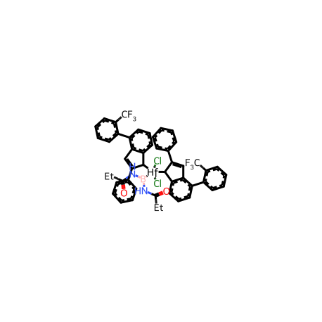 CCC(=O)N[B](NC(=O)CC)[Hf]([Cl])([Cl])([CH]1C(c2ccccc2)=Cc2c(-c3ccccc3C(F)(F)F)cccc21)[CH]1C(c2ccccc2)=Cc2c(-c3ccccc3C(F)(F)F)cccc21